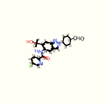 CC(C)(O)c1cc2nn([C@H]3CC[C@H](C=O)CC3)cc2cc1NC(=O)c1ccc(F)cn1